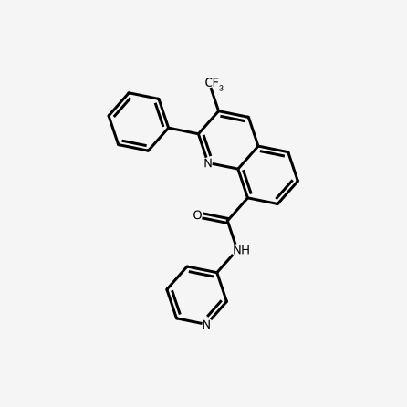 O=C(Nc1cccnc1)c1cccc2cc(C(F)(F)F)c(-c3ccccc3)nc12